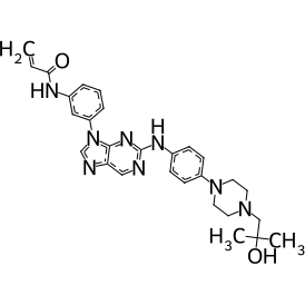 C=CC(=O)Nc1cccc(-n2cnc3cnc(Nc4ccc(N5CCN(CC(C)(C)O)CC5)cc4)nc32)c1